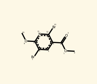 COC(=O)c1cc(Br)c(OC)nc1Br